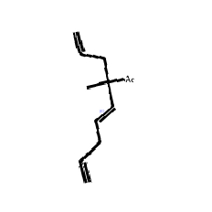 C=CC/C=C/C(C)(CC=C)C(C)=O